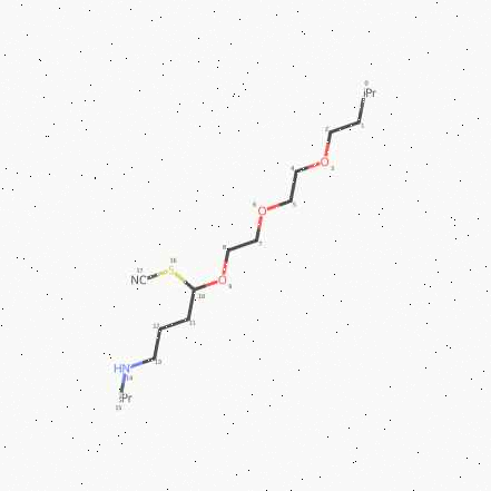 CC(C)CCOCCOCCOC(CCCNC(C)C)SC#N